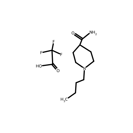 CCCCN1CCC(C(N)=O)CC1.O=C(O)C(F)(F)F